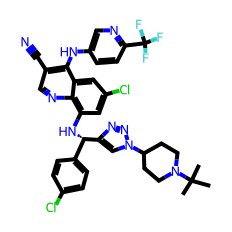 CC(C)(C)N1CCC(n2cc([C@@H](Nc3cc(Cl)cc4c(Nc5ccc(C(F)(F)F)nc5)c(C#N)cnc34)c3ccc(Cl)cc3)nn2)CC1